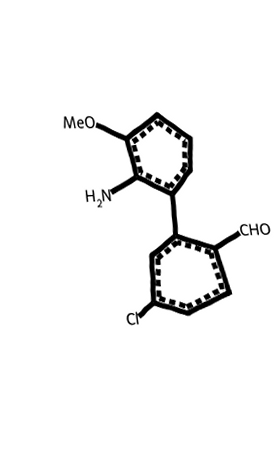 COc1cccc(-c2cc(Cl)ccc2C=O)c1N